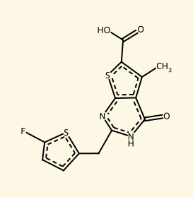 Cc1c(C(=O)O)sc2nc(Cc3ccc(F)s3)[nH]c(=O)c12